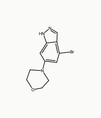 Brc1cc(N2CCOCC2)cc2[nH]ncc12